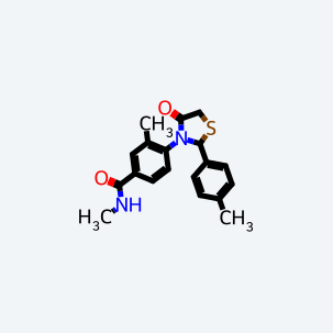 CNC(=O)c1ccc(N2C(=O)CSC2c2ccc(C)cc2)c(C)c1